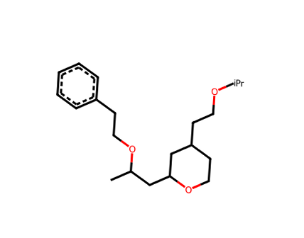 CC(C)OCCC1CCOC(CC(C)OCCc2ccccc2)C1